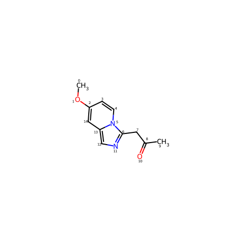 COc1ccn2c(CC(C)=O)ncc2c1